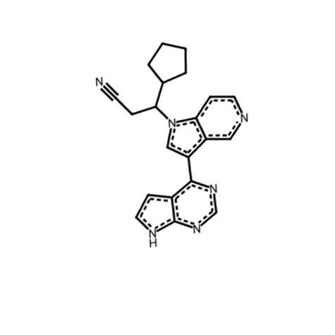 N#CCC(C1CCCC1)n1cc(-c2ncnc3[nH]ccc23)c2cnccc21